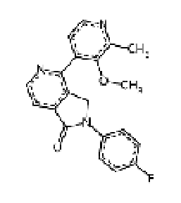 COc1c(-c2nccc3c2CN(c2ccc(F)cc2)C3=O)ccnc1C